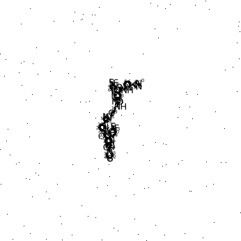 Cn1cc(-c2cccc(NC(=O)c3cc4oc(NCCOCn5cc(-c6cccc(NC(=O)c7cc8oc(N9CCOCC9)nc8nc7N7CCC(F)(F)CC7)n6)cn5)nc4nc3N3CCC(F)(F)C3)n2)cn1